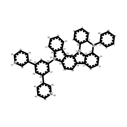 c1ccc(N2c3ccccc3-n3c4c2cccc4c2ccc4c(c5ccccc5n4-c4cc(-c5cccnc5)cc(-c5cccnc5)c4)c23)cc1